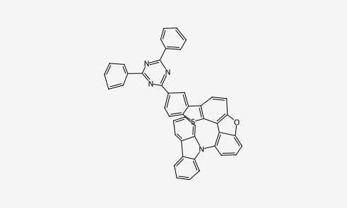 c1ccc(-c2nc(-c3ccccc3)nc(-c3ccc4sc5c(ccc6oc7cccc(-n8c9ccccc9c9ccccc98)c7c65)c4c3)n2)cc1